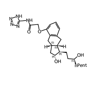 CCCCC[C@H](O)CC[C@@H]1[C@H]2Cc3cccc(OCC(=O)Nc4nnn[nH]4)c3C[C@H]2C[C@H]1O